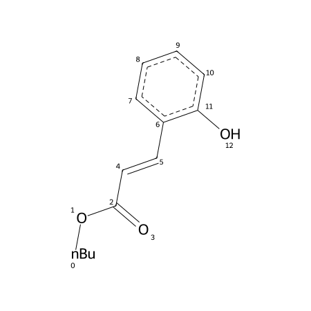 CCCCOC(=O)/C=C/c1ccccc1O